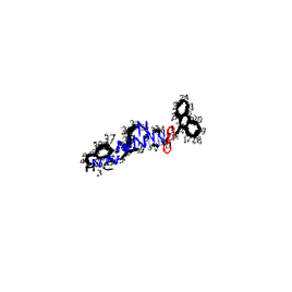 CN(Cc1cn2c(N3CCN(C(=O)OCC4c5ccccc5-c5ccccc54)CC3)nccc2n1)C1CCCc2cccnc21